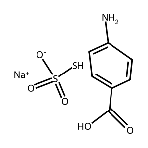 Nc1ccc(C(=O)O)cc1.O=S(=O)([O-])S.[Na+]